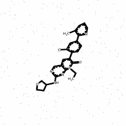 CCn1c(=O)c(-c2ccc(-c3ncccc3C)cc2Cl)cc2cnc(NC3CCOC3)nc21